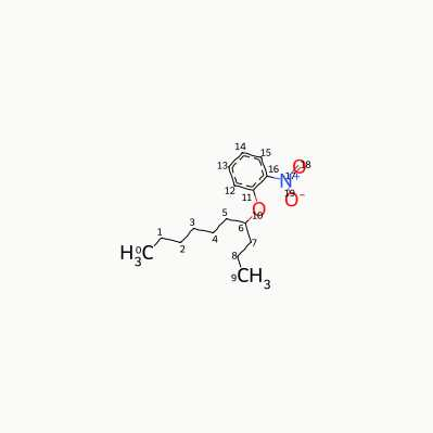 CCCCCCC(CCC)Oc1ccccc1[N+](=O)[O-]